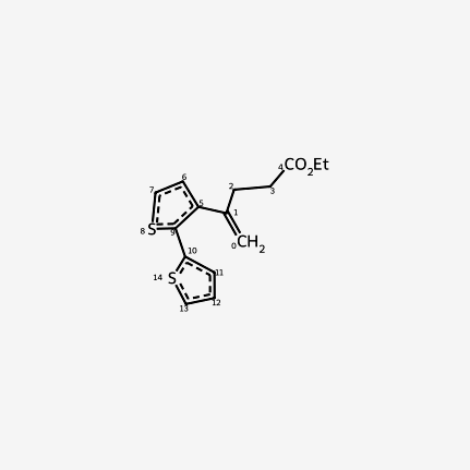 C=C(CCC(=O)OCC)c1ccsc1-c1cccs1